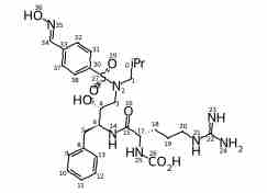 CC(C)CN(C[C@@H](O)[C@H](Cc1ccccc1)NC(=O)[C@H](CCCNC(=N)N)NC(=O)O)S(=O)(=O)c1ccc(/C=N/O)cc1